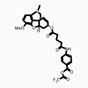 COc1ccc2c3c1O[C@H]1C[C@@H](OC(=O)CCCC(=O)Nc4ccc(C(=O)OC(=O)C(F)(F)F)cc4)C=C[C@@]31CCN(C)C2